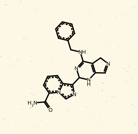 NC(=O)c1cccc2c(C3N=C(NCc4ccccc4)C4=C(C=NC4)N3)ncn12